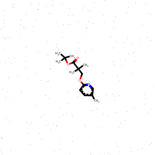 Cc1ccc(OCC(C)(C)C(=O)OC(C)(C)C)nc1